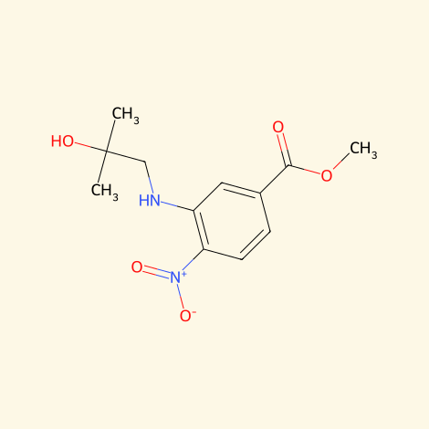 COC(=O)c1ccc([N+](=O)[O-])c(NCC(C)(C)O)c1